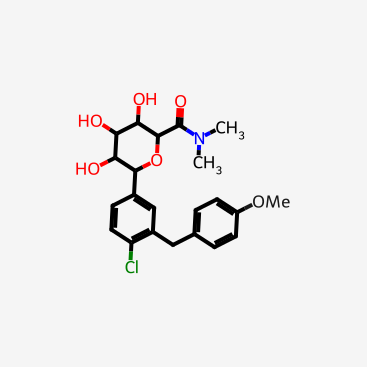 COc1ccc(Cc2cc(C3OC(C(=O)N(C)C)C(O)C(O)C3O)ccc2Cl)cc1